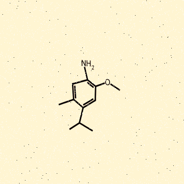 COc1cc(C(C)C)c(C)cc1N